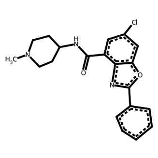 CN1CCC(NC(=O)c2cc(Cl)cc3oc(-c4ccccc4)nc23)CC1